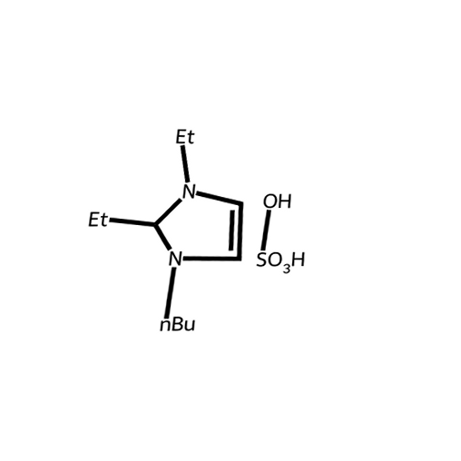 CCCCN1C=CN(CC)C1CC.O=S(=O)(O)O